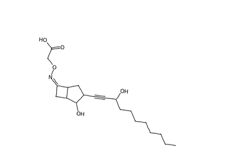 CCCCCCCCC(O)C#CC1CC2C(=NOCC(=O)O)CC2C1O